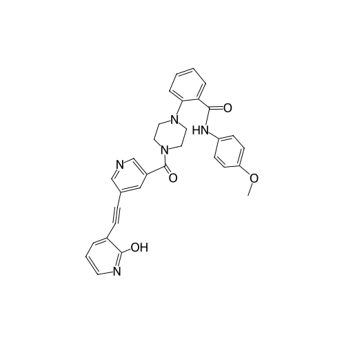 COc1ccc(NC(=O)c2ccccc2N2CCN(C(=O)c3cncc(C#Cc4cccnc4O)c3)CC2)cc1